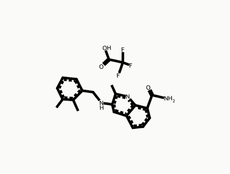 Cc1cccc(CNc2cc3cccc(C(N)=O)c3nc2C)c1C.O=C(O)C(F)(F)F